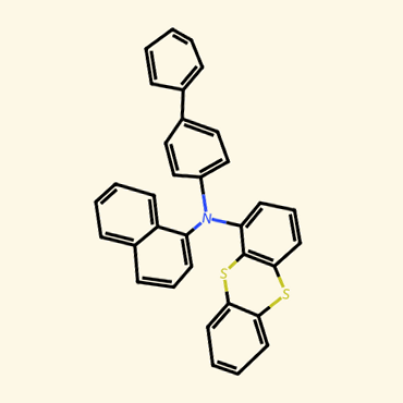 c1ccc(-c2ccc(N(c3cccc4c3Sc3ccccc3S4)c3cccc4ccccc34)cc2)cc1